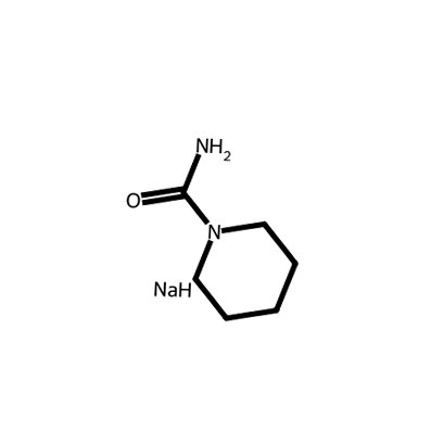 NC(=O)N1CCCCC1.[NaH]